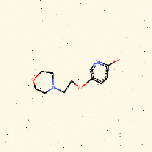 Brc1ccc(OCCN2CCOCC2)cn1